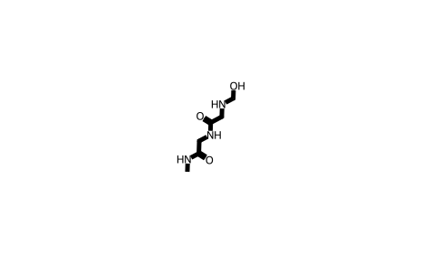 CNC(=O)CNC(=O)CNCO